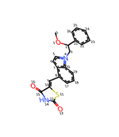 COC(Cn1ccc2c(C=C3SC(=O)NC3=O)cccc21)c1ccccc1